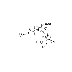 C=CCOC(=O)Nc1nc(/C(=N/OC)C(=O)N[C@H]2CN3CC(C#N)=C(C(C=C)C(=O)O)N3C2=O)cs1